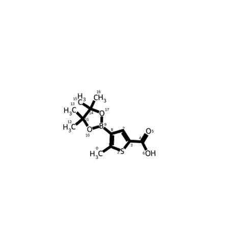 Cc1sc(C(=O)O)cc1B1OC(C)(C)C(C)(C)O1